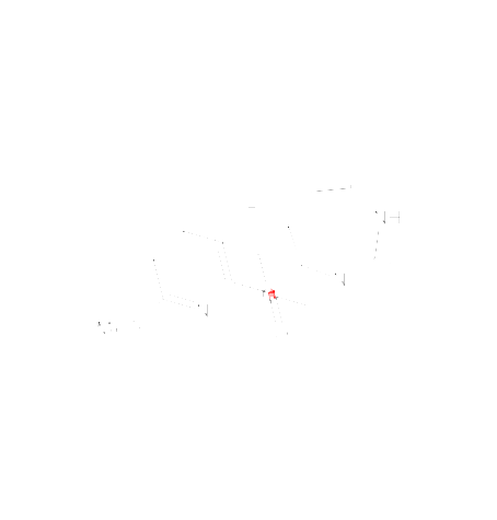 COc1ccc(F)c(C(=O)C2C3CCNCN2COC3)n1